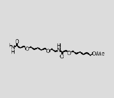 COCCCCCCOCC(=O)NCCOCCCCCOCCC(=O)NI